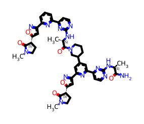 C[C@H](Nc1nccc(-c2cc(C3CCCN(C(=O)[C@H](C)Nc4nccc(-c5cccc(-c6cc([C@@H]7CCN(C)C7=O)on6)n5)n4)C3)cc(-c3cc([C@@H]4CCN(C)C4=O)on3)n2)n1)C(N)=O